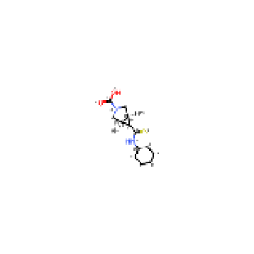 O=C(O)N1C[C@@H]2C(C(=S)NC3CCCCC3)[C@@H]2C1